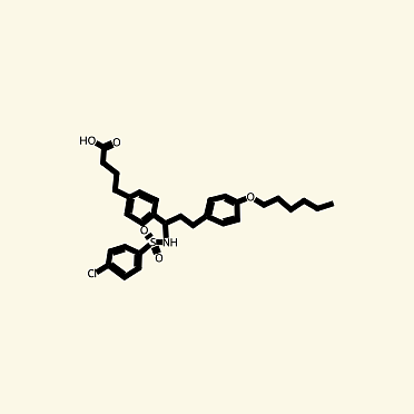 CCCCCCOc1ccc(CCC(NS(=O)(=O)c2ccc(Cl)cc2)c2ccc(CCCC(=O)O)cc2)cc1